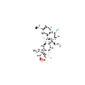 CC(C)c1ccc(C2(F)CC2C(C)(C)c2ccc(C(C)(C)CO)cc2)cc1